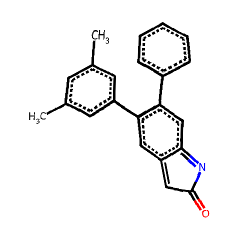 Cc1cc(C)cc(-c2cc3c(cc2-c2ccccc2)=NC(=O)C=3)c1